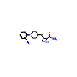 N#Cc1ccccc1N1CCC([CH]C2CNC2C(N)=O)CC1